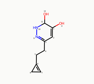 OC1=CC(CCC2=CC2)=NNC1O